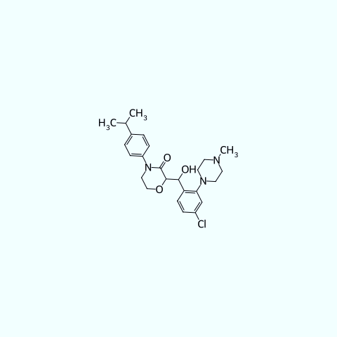 CC(C)c1ccc(N2CCOC(C(O)c3ccc(Cl)cc3N3CCN(C)CC3)C2=O)cc1